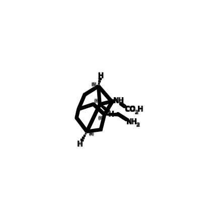 NC[C@]12CC3C[C@H](C1)[C@@H](NC(=O)O)[C@@H](C3)C2